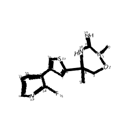 CN1OCC(C)(c2cc(-c3cccnc3F)cs2)NC1=N